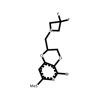 CSc1cc2c(c(Br)n1)OCC(CN1CC(F)(F)C1)O2